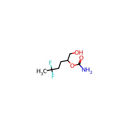 CC(F)(F)CCC(CO)OC(N)=O